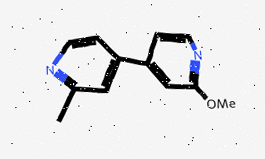 COc1cc(-c2ccnc(C)c2)ccn1